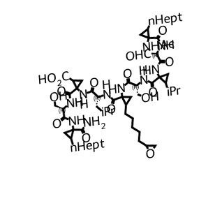 CCCCCCCC1CC1(NC(=O)[C@@H](CO)NC(=O)C1(NC(=O)[C@@H](CC(C)C)NC(=O)C2(NC(=O)[C@@H](CO)NC(=O)C3(NC(=O)[C@@H](C=O)NC(=O)C4(NC(C)=O)CC4CCCCCCC)CC3C(C)C)CC2CCCCCC2CO2)CC1C(=O)O)C(N)=O